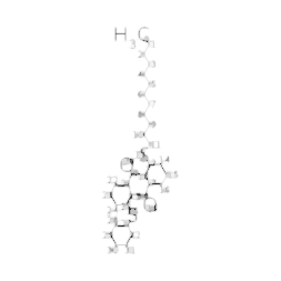 CCCCCCCCCCCCSc1cccc2c1C(=O)c1cccc(Sc3ccccc3)c1C2=O